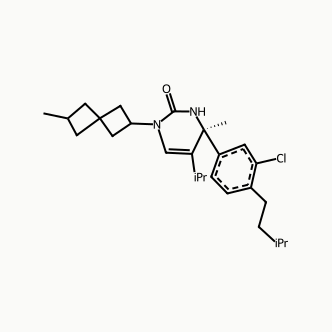 CC(C)CCc1ccc([C@]2(C)NC(=O)N(C3CC4(CC(C)C4)C3)C=C2C(C)C)cc1Cl